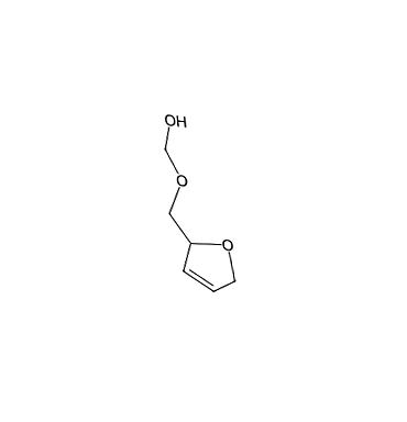 OCOCC1C=CCO1